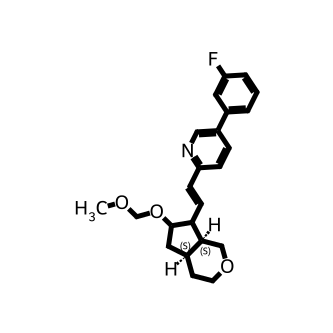 COCOC1C[C@@H]2CCOC[C@@H]2C1C=Cc1ccc(-c2cccc(F)c2)cn1